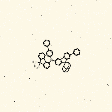 CC1(C)c2ccccc2-c2c(N(c3ccc(-c4ccccc4)cc3)c3ccc4c(c3)-c3ccc(-c5ccccc5)cc3C43C4CC5CC(C4)CC3C5)cccc21